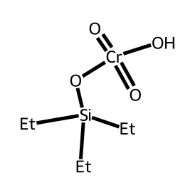 CC[Si](CC)(CC)[O][Cr](=[O])(=[O])[OH]